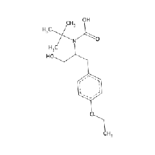 CCOc1ccc(CC(CO)N(C(=O)O)C(C)(C)C)cc1